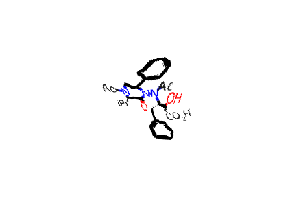 CC(=O)N1C=C(c2ccccc2)N(N(C(C)=O)[C@@H](Cc2ccccc2)C(O)C(=O)O)C(=O)[C@H]1C(C)C